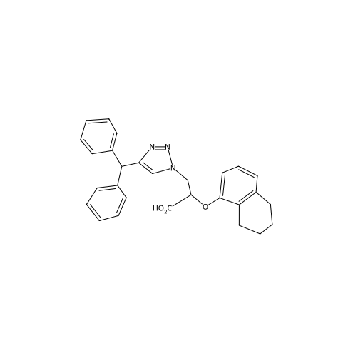 O=C(O)C(Cn1cc(C(c2ccccc2)c2ccccc2)nn1)Oc1cccc2c1CCCC2